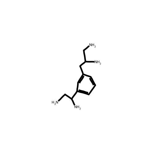 NCC(N)Cc1cccc(C(N)CN)c1